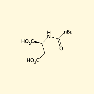 C[CH]CCC(=O)N[C@@H](CC(=O)O)C(=O)O